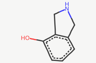 Oc1cccc2c1CNC2